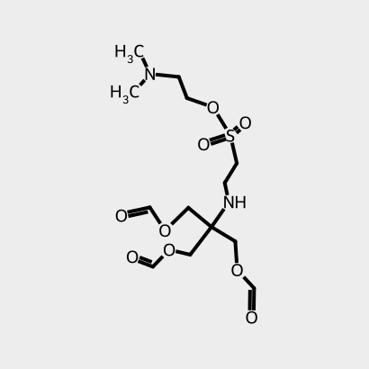 CN(C)CCOS(=O)(=O)CCNC(COC=O)(COC=O)COC=O